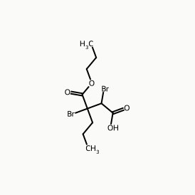 CCCOC(=O)C(Br)(CCC)C(Br)C(=O)O